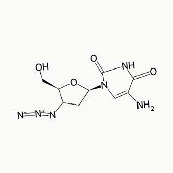 [N-]=[N+]=NC1C[C@H](n2cc(N)c(=O)[nH]c2=O)O[C@@H]1CO